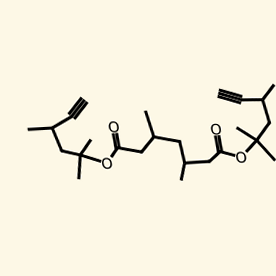 C#CC(C)CC(C)(C)OC(=O)CC(C)CC(C)CC(=O)OC(C)(C)CC(C)C#C